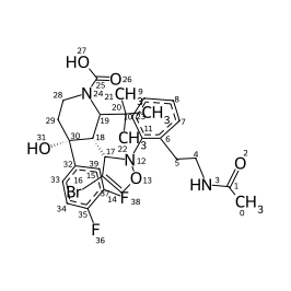 CC(=O)NCCc1ccccc1N1OC=C(Br)C1[C@H]1C(C(C)(C)C)N(C(=O)O)CC[C@]1(O)c1ccc(F)c(F)c1